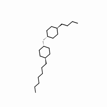 CCCCCCC[C@H]1CC[C@H](C[C@H]2CC[C@H](CCCC)CC2)CC1